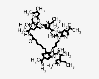 C=CCCC(C(=C)NCC(=O)CCCCCc1cc(C(=C)N)cc2nc(N(C)C(=C)C3=C(CC)N=C(C)C3)n(C/C=C/Cn3c(NSC(=C)C4=C(CC)N=C(C)C4)nc4cc(C(=C)C)cnc43)c12)N(C)C(=O)CN1C(=C)C(C)CC1=O